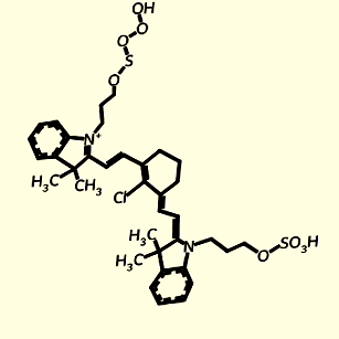 CC1(C)C(/C=C/C2=C(Cl)C(=C/C=C3/N(CCCOS(=O)(=O)O)c4ccccc4C3(C)C)/CCC2)=[N+](CCCOSOOO)c2ccccc21